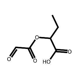 CCC(OC(=O)C=O)C(=O)O